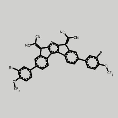 CCc1cc(-c2ccc3c(c2)C(=C(C#N)C#N)c2sc4c(c2-3)-c2ccc(-c3ccc(OC(F)(F)F)c(F)c3)cc2C4=C(C#N)C#N)ccc1OC(F)(F)F